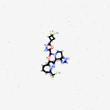 O=C(c1nnc(C2CC(F)(F)C2)o1)N1CCc2[nH]cnc2C1c1cc2cccc(C(F)F)n2n1